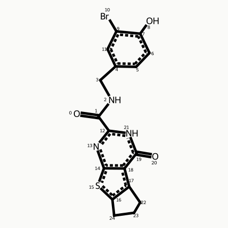 O=C(NCc1ccc(O)c(Br)c1)c1nc2sc3c(c2c(=O)[nH]1)CCC3